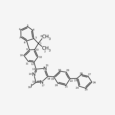 CC1(C)c2ccccc2-c2ccc(-c3nc(I)nc(-c4ccc(-c5ccccc5)cc4)n3)cc21